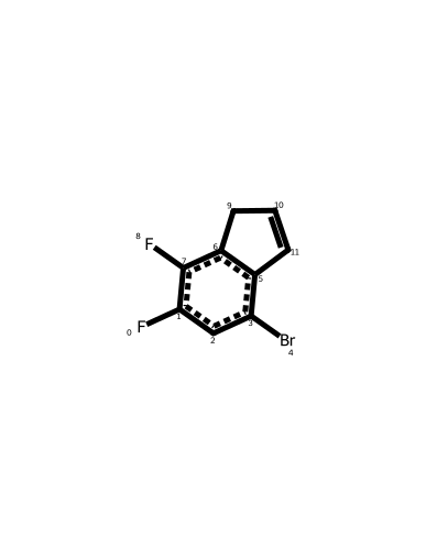 Fc1cc(Br)c2c(c1F)CC=C2